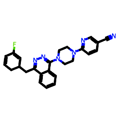 N#Cc1ccc(N2CCN(c3nnc(CC4C=C(F)C=CC4)c4ccccc34)CC2)nc1